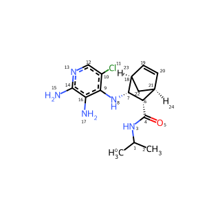 CC(C)NC(=O)[C@@H]1[C@H](Nc2c(Cl)cnc(N)c2N)[C@H]2C=C[C@@H]1C2